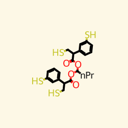 CCCC(OC(=O)C(CS)c1cccc(S)c1)OC(=O)C(CS)c1cccc(S)c1